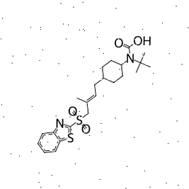 C/C(=C\CC1CCC(N(C(=O)O)C(C)(C)C)CC1)CS(=O)(=O)c1nc2ccccc2s1